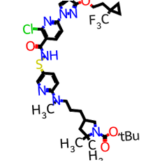 CN(CCCC1CN(C(=O)OC(C)(C)C)C(C)(C)C1)c1ccc(SNC(=O)c2ccc(-n3ccc(OCCC4(C(F)(F)F)CC4)n3)nc2Cl)cn1